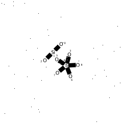 O=[Si]=O.[O]=[Ti](=[O])(=[O])(=[O])=[O]